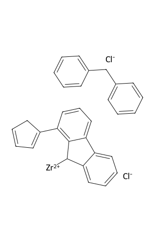 [Cl-].[Cl-].[Zr+2][CH]1c2ccccc2-c2cccc(C3=CC=CC3)c21.c1ccc(Cc2ccccc2)cc1